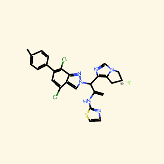 C=C(Nc1nccs1)C(c1ncn2c1C[C@@H](F)C2)n1cc2c(Cl)cc(-c3ccc(C)cc3)c(Cl)c2n1